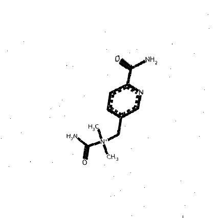 C[N+](C)(Cc1ccc(C(N)=O)nc1)C(N)=O